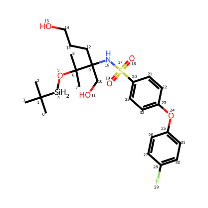 CC(C)(C)[SiH2]OC(C)(C)C(CO)(CCCO)NS(=O)(=O)c1ccc(Oc2ccc(F)cc2)cc1